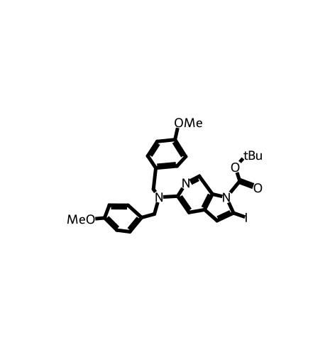 COc1ccc(CN(Cc2ccc(OC)cc2)c2cc3cc(I)n(C(=O)OC(C)(C)C)c3cn2)cc1